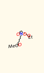 CCOCCOC[C@H]1CCC(=O)N1CCCCCCC(=O)OC